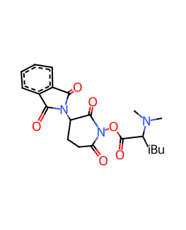 CCC(C)C(C(=O)ON1C(=O)CCC(N2C(=O)c3ccccc3C2=O)C1=O)N(C)C